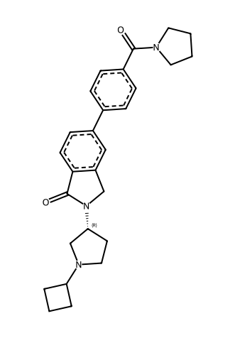 O=C(c1ccc(-c2ccc3c(c2)CN([C@@H]2CCN(C4CCC4)C2)C3=O)cc1)N1CCCC1